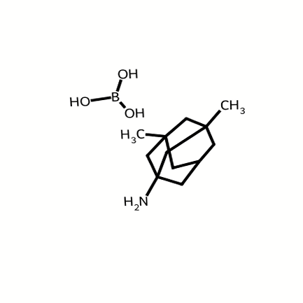 CC12CC3CC(C)(C1)CC(N)(C3)C2.OB(O)O